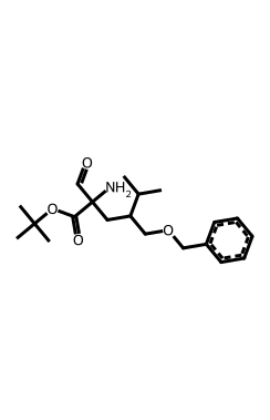 CC(C)C(COCc1ccccc1)CC(N)(C=O)C(=O)OC(C)(C)C